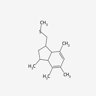 CSCC1CC(C)C2C(C)=C(C)C=C(C)C12